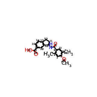 COc1cc(C)c(C(=O)N[C@@H]2CCc3ccc(C(=O)O)cc32)cc1C